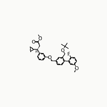 COC(=O)C[C@@H](c1cccc(OCc2ccc(-c3cc(OC)ccc3F)c(COC(C)(C)C)c2)c1)C1CC1